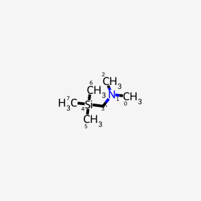 CN(C)[CH][Si](C)(C)C